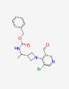 CC(NC(=O)OCc1ccccc1)C1CN(c2c(Br)cncc2C=O)C1